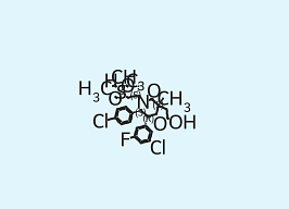 CC[C@@H](CS(=O)(=O)C(C)C)N1C(=O)[C@](C)(CC(=O)O)C[C@H](c2cc(F)cc(Cl)c2)[C@H]1c1ccc(Cl)cc1